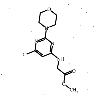 COC(=O)CNc1cc(Cl)nc(N2CCOCC2)n1